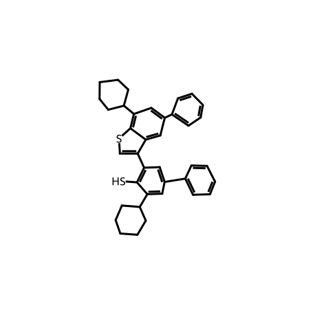 Sc1c(-c2csc3c(C4CCCCC4)cc(-c4ccccc4)cc23)cc(-c2ccccc2)cc1C1CCCCC1